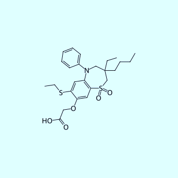 CCCCC1(CC)CN(c2ccccc2)c2cc(SCC)c(OCC(=O)O)cc2S(=O)(=O)C1